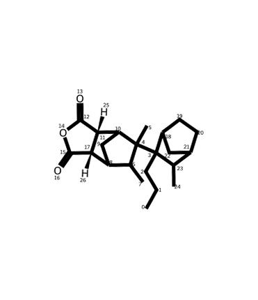 CCCC1(C2(C)C(C)C3CC2[C@H]2C(=O)OC(=O)[C@@H]32)C2CCC(C2)C1C